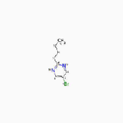 FC(F)(F)CCCc1ncc(Br)cn1